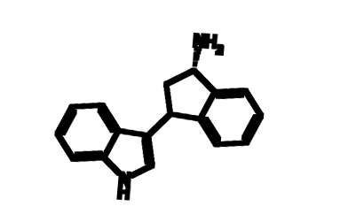 N[C@H]1CC(c2c[nH]c3ccccc23)c2ccccc21